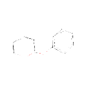 [c]1cccc(OC2CCCCO2)c1